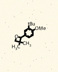 COc1ccc(C2OCC2(C)C)cc1C(C)(C)C